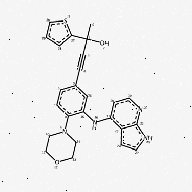 CC(O)(C#Cc1ccc(N2CCOCC2)c(Nc2ccnc3[nH]ccc23)c1)c1cccs1